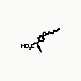 CC#C[C@@H](CC(=O)O)c1ccc(OCC=CC=CC)cc1